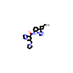 Cn1cnnc1C1(c2cccc(NC(=O)c3cc(CN4CCCC4)cn4ccnc34)c2)CC(CC#N)C1